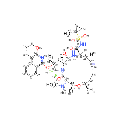 CCC(C)N(C(=O)O)[C@@H]1C(=O)N2[C@@H](C[C@@](C)(Oc3nc4c(c5ccccc35)CCCO4)C2(F)F)C(=O)N[C@]2(C(=O)NS(=O)(=O)C3(C)CC3)C[C@H]2/C=C\CC[C@@H](C)O[C@H]1CC